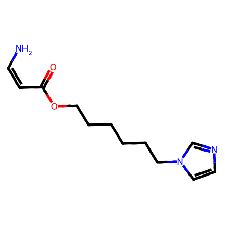 N/C=C\C(=O)OCCCCCCn1ccnc1